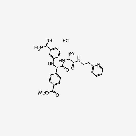 COC(=O)c1ccc(C(Nc2cccc(C(=N)N)c2)C(=O)NC(C(=O)NCCc2ccccn2)C(C)C)cc1.Cl